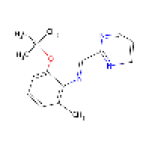 Cc1cccc(O[Si](C)(C)C)c1N=Cc1ncccn1